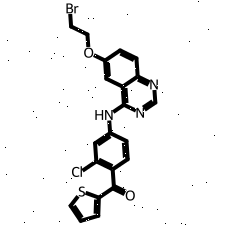 O=C(c1cccs1)c1ccc(Nc2ncnc3ccc(OCCBr)cc23)cc1Cl